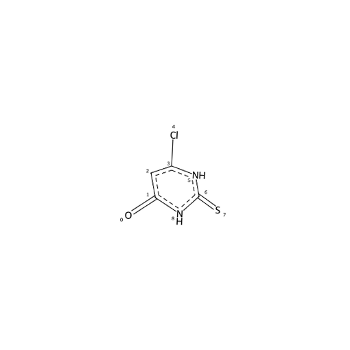 O=c1cc(Cl)[nH]c(=S)[nH]1